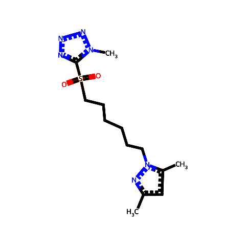 Cc1cc(C)n(CCCCCCS(=O)(=O)c2nnnn2C)n1